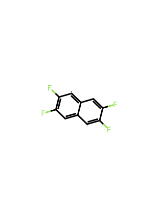 Fc1[c]c2cc(F)c(F)[c]c2cc1F